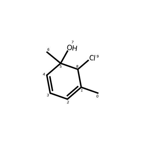 CC1=CC=CC(C)(O)C1Cl